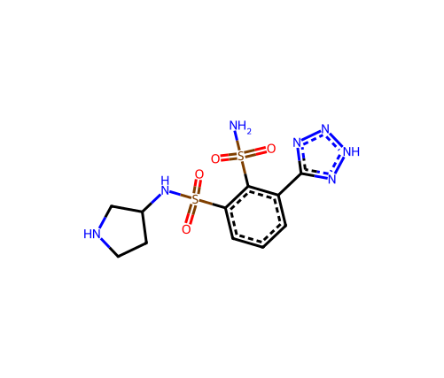 NS(=O)(=O)c1c(-c2nn[nH]n2)cccc1S(=O)(=O)NC1CCNC1